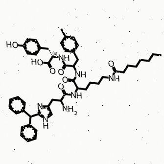 CCCCCCCC(=O)NCCCCC(NC(=O)C(N)Cc1c[nH]c(C(c2ccccc2)c2ccccc2)n1)C(=O)NC(Cc1ccc(C)cc1)C(=O)N[C@@H](Cc1ccc(O)cc1)C(=O)O